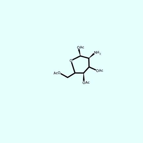 CC(=O)OCC1O[C@@H](OC(C)=O)[C@@H](N)C(OC(C)=O)[C@H]1OC(C)=O